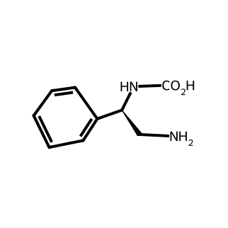 NC[C@H](NC(=O)O)c1ccccc1